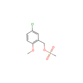 COc1ccc(Cl)cc1COS(C)(=O)=O